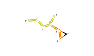 S=S=S=S(=S)=P1=PC1